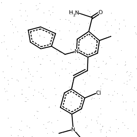 Cc1cc(/C=C/c2ccc(N(C)C)cc2Cl)[n+](Cc2ccccc2)cc1C(N)=O